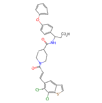 O=C(O)CC(NC(=O)C1CCN(C(=O)C=Cc2cc3ccsc3c(Cl)c2Cl)CC1)c1ccc(Oc2ccccc2)cc1